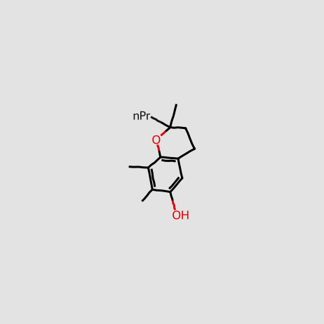 CCCC1(C)CCc2cc(O)c(C)c(C)c2O1